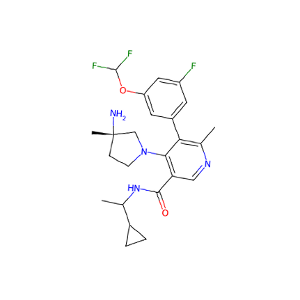 Cc1ncc(C(=O)NC(C)C2CC2)c(N2CC[C@](C)(N)C2)c1-c1cc(F)cc(OC(F)F)c1